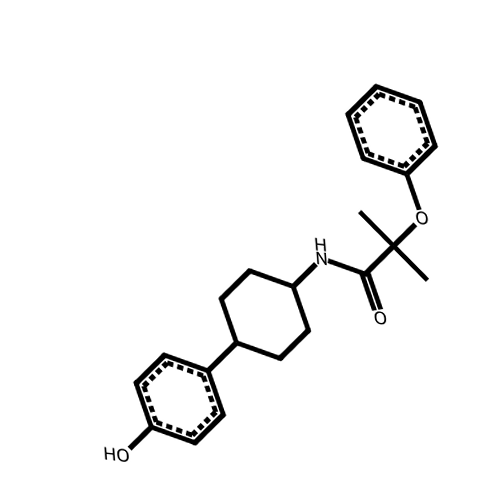 CC(C)(Oc1ccccc1)C(=O)NC1CCC(c2ccc(O)cc2)CC1